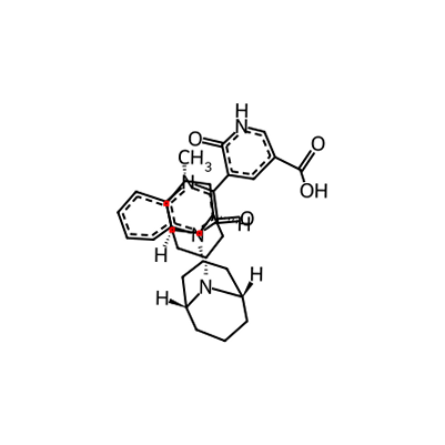 C[C@@H]1C[C@@H]2C[C@H](C1)C[C@@H](N1[C@@H]3CCC[C@H]1C[C@@H](n1c(=O)c(-c4cc(C(=O)O)c[nH]c4=O)nc4ccccc41)C3)C2